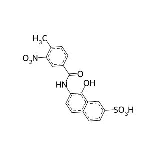 Cc1ccc(C(=O)Nc2ccc3ccc(S(=O)(=O)O)cc3c2O)cc1[N+](=O)[O-]